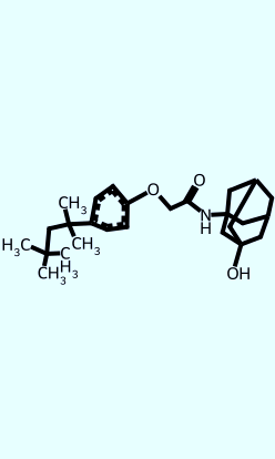 CC(C)(C)CC(C)(C)c1ccc(OCC(=O)NC23CC4CC(CC(O)(C4)C2)C3)cc1